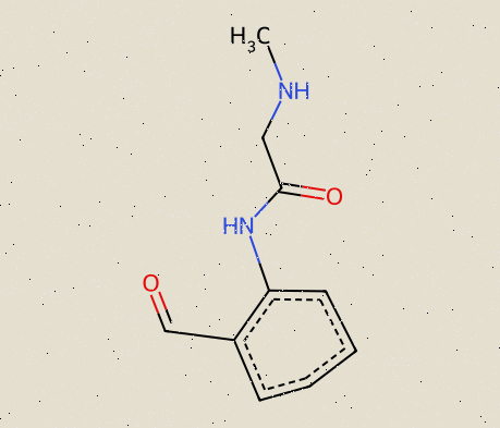 CNCC(=O)Nc1ccccc1C=O